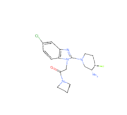 N[C@@H]1CN(c2nc3cc(Cl)ccc3n2CC(=O)N2CCC2)CC[C@H]1F